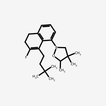 CC1OB(c2cccc3c2C(CCC(C)(C)C)=C(F)CC3)CC1(C)C